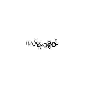 Cc1ccc(S(=O)(=O)N2CCN(c3ncc(C(=O)ON)s3)CC2)cc1F